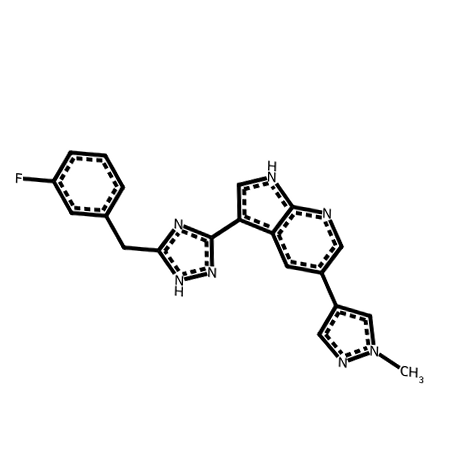 Cn1cc(-c2cnc3[nH]cc(-c4n[nH]c(Cc5cccc(F)c5)n4)c3c2)cn1